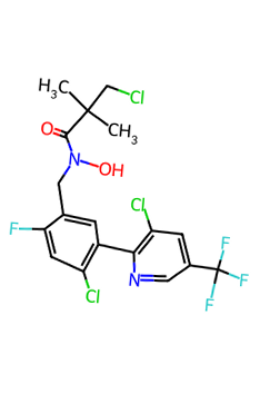 CC(C)(CCl)C(=O)N(O)Cc1cc(-c2ncc(C(F)(F)F)cc2Cl)c(Cl)cc1F